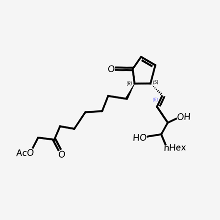 CCCCCCC(O)C(O)/C=C/[C@H]1C=CC(=O)[C@@H]1CCCCCCC(=O)COC(C)=O